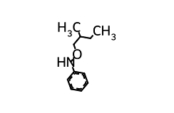 CCC(C)CONc1ccccc1